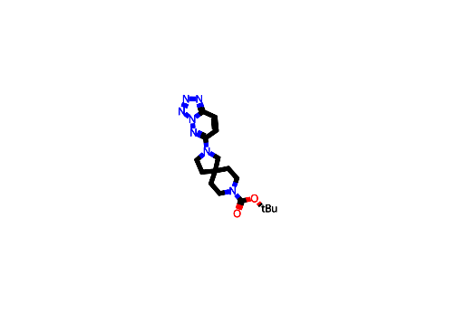 CC(C)(C)OC(=O)N1CCC2(CC1)CCN(c1ccc3nnnn3n1)C2